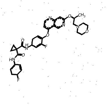 CC(CN1CCOCC1)Oc1cc2nccc(OC3=CCC(NC(=O)C4(C(=O)NC5=CCC(F)C=C5)CC4)C=C3F)c2cn1